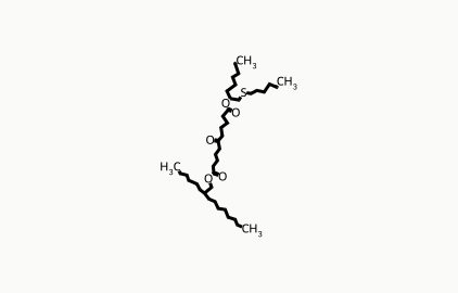 CCCCCCCCC(CCCCCC)COC(=O)CCCCC(=O)CCCCC(=O)OC(CCCCCC)CSCCCCCC